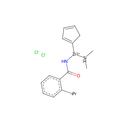 CC(C)c1ccccc1C(=O)[NH][Zr+2]([C]1=CC=CC1)[SiH](C)C.[Cl-].[Cl-]